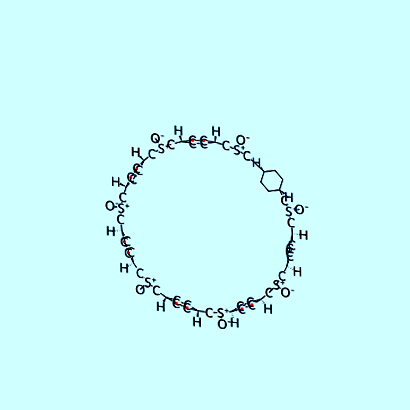 [O-][S+]1C[C@H]2CC[C@H](CC2)C[S+]([O-])C[C@H]2CC[C@H](CC2)C[S+]([O-])C[C@H]2CC[C@H](CC2)[S+]([O-])C[C@@H]2CC[C@@H](CC2)C[S+]([O-])C[C@H]2CC[C@H](CC2)C[S@@+]([O-])C[C@@H]2CC[C@@H](CC2)C[S+]([O-])C[C@@H]2CC[C@@H](CC2)C1